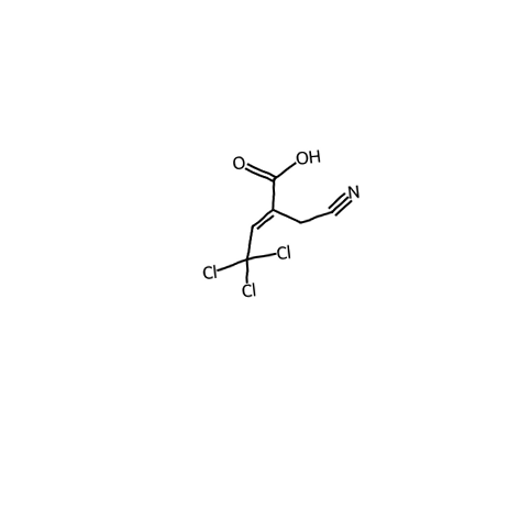 N#CC/C(=C\C(Cl)(Cl)Cl)C(=O)O